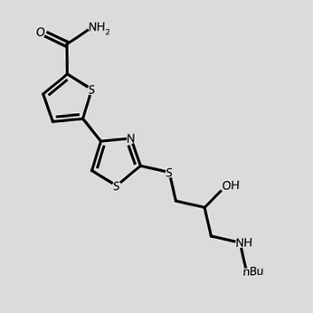 CCCCNCC(O)CSc1nc(-c2ccc(C(N)=O)s2)cs1